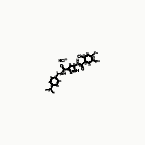 CN(C)c1ccc(CNC(=O)c2cc(NC(=O)c3cc(F)c(F)cc3Cl)[nH]n2)cc1.Cl